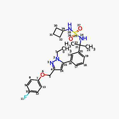 CCn1nc(COc2ccc(F)cc2)cc1-c1cccc(C(C)(C)NS(=O)(=O)NC2CCC2)c1